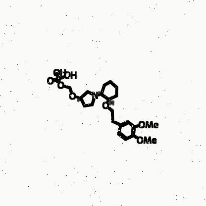 COc1ccc(CCO[C@@H]2CCCC[C@H]2N2CC[C@@H](OCOP(=O)(O)O)C2)cc1OC